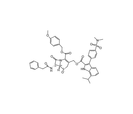 COc1ccc(COC(=O)C2=C(COC(=O)c3[nH]c4c(C(C)C)cccc4c3-c3ccc(S(=O)(=O)N(C)C)cc3)C[S+]([O-])[C@@H]3[C@H](NC(=O)Cc4ccccc4)C(=O)N23)cc1